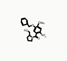 COc1cc([N+](=O)[O-])c(C(=O)N2CCCC2CO)cc1OCc1ccccc1